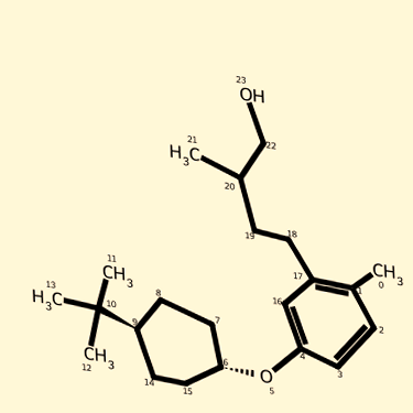 Cc1ccc(O[C@H]2CC[C@H](C(C)(C)C)CC2)cc1CCC(C)CO